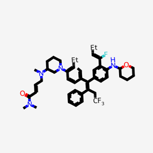 C/C=C(\C=C/C(=C/CC)N1CCCC(N(C)C/C=C/C(=O)N(C)C)C1)C(=C(/CC(F)(F)F)c1ccccc1)/c1ccc(NC2CCCCO2)c(/C(F)=C/CC)c1